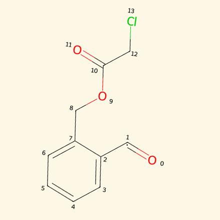 O=[C]c1ccccc1COC(=O)CCl